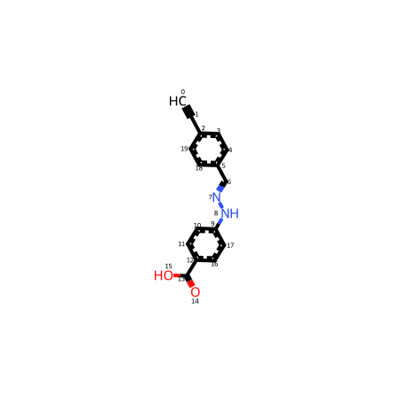 C#Cc1ccc(C=NNc2ccc(C(=O)O)cc2)cc1